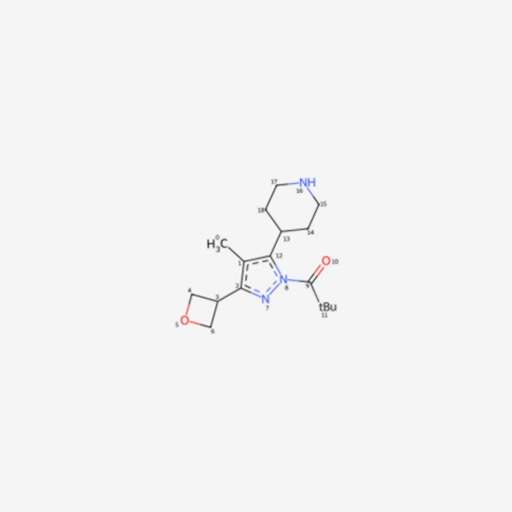 Cc1c(C2COC2)nn(C(=O)C(C)(C)C)c1C1CCNCC1